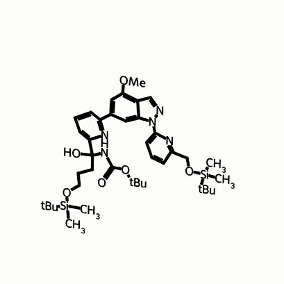 COc1cc(-c2cccc(C(O)(CCCO[Si](C)(C)C(C)(C)C)NC(=O)OC(C)(C)C)n2)cc2c1cnn2-c1cccc(CO[Si](C)(C)C(C)(C)C)n1